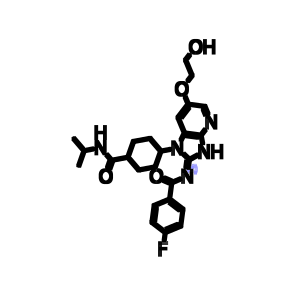 CC(C)NC(=O)C1CCC(n2/c(=N\C(=O)c3ccc(F)cc3)[nH]c3ncc(OCCO)cc32)CC1